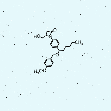 CCCCCC(OCc1ccc(OC)cc1)c1ccc(N2C(=O)C[C@@H]2CO)cc1